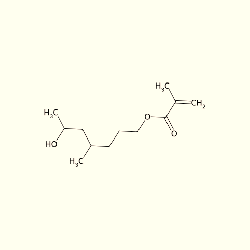 C=C(C)C(=O)OCCCC(C)CC(C)O